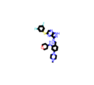 CN1CCN(c2ccc(CNc3n[nH]c4ncc(Sc5cc(F)cc(F)c5)nc34)c(NC3CCOCC3)c2)CC1